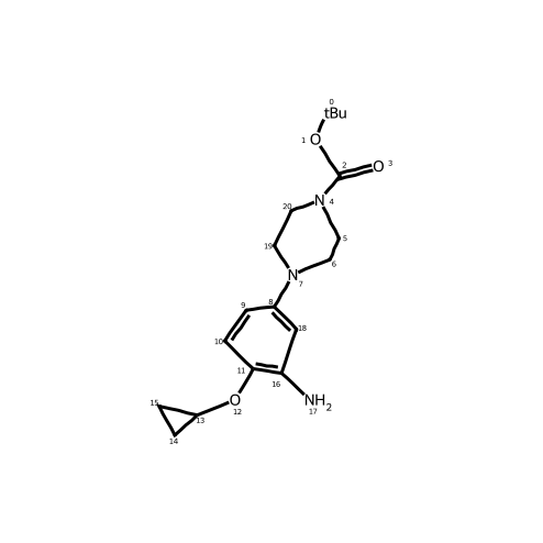 CC(C)(C)OC(=O)N1CCN(c2ccc(OC3CC3)c(N)c2)CC1